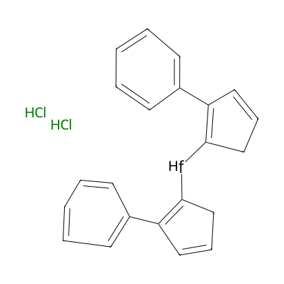 C1=CC(c2ccccc2)=[C]([Hf][C]2=C(c3ccccc3)C=CC2)C1.Cl.Cl